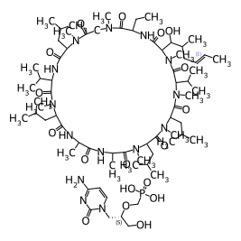 C/C=C/CC(C)C(O)C1C(=O)NC(CC)C(=O)N(C)CC(=O)N(C)C(CC(C)C)C(=O)NC(C(C)C)C(=O)N(C)C(CC(C)C)C(=O)NC(C)C(=O)NC(C)C(=O)N(C)C(CC(C)C)C(=O)N(C)C(CC(C)C)C(=O)N(C)C(C(C)C)C(=O)N1C.Nc1ccn(C[C@@H](CO)OCP(=O)(O)O)c(=O)n1